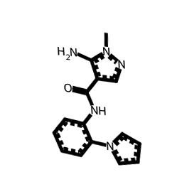 Cn1ncc(C(=O)Nc2ccccc2-n2cccc2)c1N